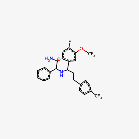 NC(=O)C(NC(CCc1ccc(C(F)(F)F)cc1)c1ccc(F)c(OC(F)(F)F)c1)c1ccccc1